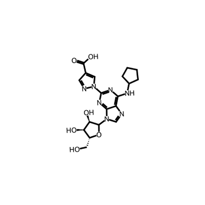 O=C(O)c1cnn(-c2nc(NC3CCCC3)c3ncn(C4O[C@H](CO)[C@@H](O)[C@H]4O)c3n2)c1